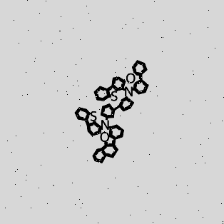 c1cc(-c2cccc(N(c3cccc4c3oc3c5ccccc5ccc43)c3cccc4c3sc3ccccc34)c2)cc(N(c2cccc3c2oc2ccccc23)c2cccc3c2sc2ccccc23)c1